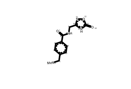 CNCc1ccc(C(=O)NCc2noc(=O)[nH]2)cc1